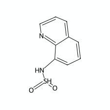 O=[SH](=O)Nc1cccc2cccnc12